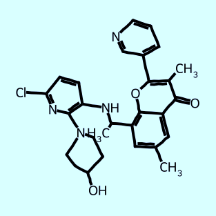 Cc1cc(C(C)Nc2ccc(Cl)nc2N2CCC(O)CC2)c2oc(-c3cccnc3)c(C)c(=O)c2c1